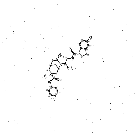 CC1CC2CC(CC(C)(C(=O)Nc3ccncc3)C2)C1C(N)CNC(=O)C1CCc2cc(Cl)ccc21